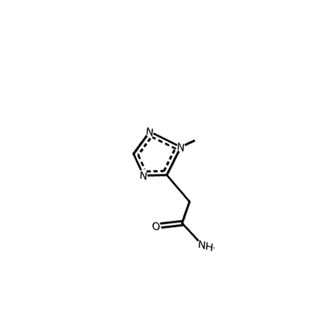 Cn1ncnc1CC([NH])=O